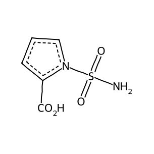 NS(=O)(=O)n1cccc1C(=O)O